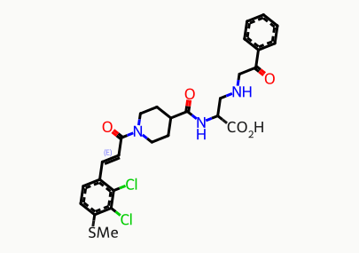 CSc1ccc(/C=C/C(=O)N2CCC(C(=O)NC(CNCC(=O)c3ccccc3)C(=O)O)CC2)c(Cl)c1Cl